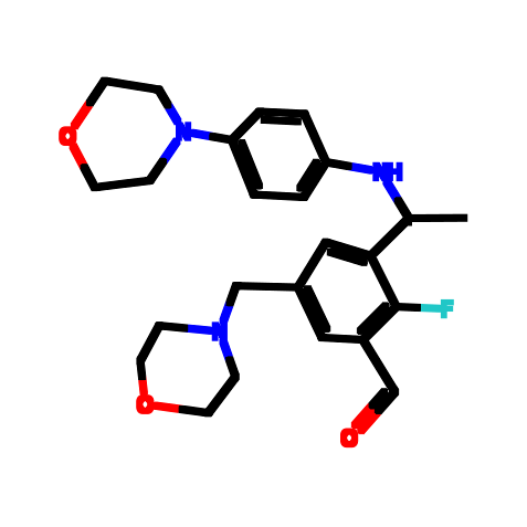 C[C](Nc1ccc(N2CCOCC2)cc1)c1cc(CN2CCOCC2)cc(C=O)c1F